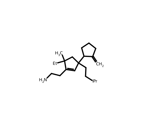 C=C1CCCC1C1(CCC(C)C)C=C(CCN)C(C)(CC)C1